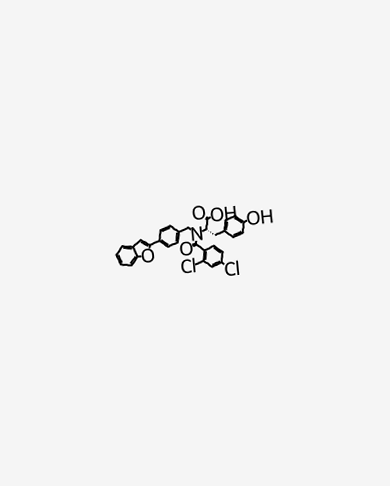 O=C(O)[C@H](Cc1ccc(O)cc1)N(Cc1ccc(-c2cc3ccccc3o2)cc1)C(=O)c1ccc(Cl)cc1Cl